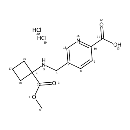 COC(=O)C1(NCc2ccc(C(=O)O)nc2)CCC1.Cl.Cl